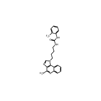 Nc1nc2ccccc2c2c1ncn2CCCCNC(=O)Nc1ccccc1C(F)(F)F